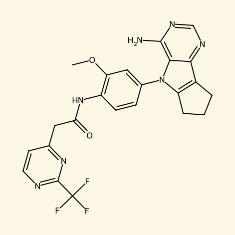 COc1cc(-n2c3c(c4ncnc(N)c42)CCC3)ccc1NC(=O)Cc1ccnc(C(F)(F)F)n1